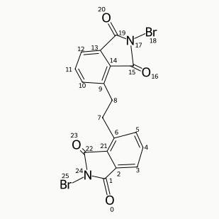 O=C1c2cccc(CCc3cccc4c3C(=O)N(Br)C4=O)c2C(=O)N1Br